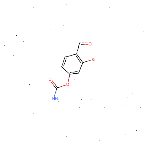 NC(=O)Oc1ccc(C=O)c(Br)c1